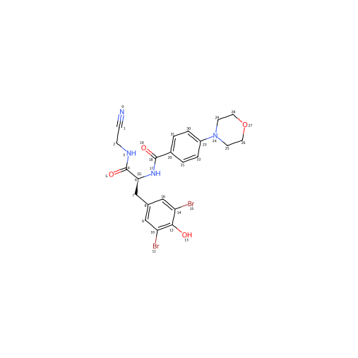 N#CCNC(=O)[C@H](Cc1cc(Br)c(O)c(Br)c1)NC(=O)c1ccc(N2CCOCC2)cc1